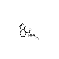 CONC(=O)c1cccc2ccsc12